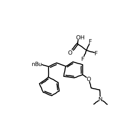 CCCC/C(=C/c1ccc(OCCN(C)C)cc1)c1ccccc1.O=C(O)C(F)(F)F